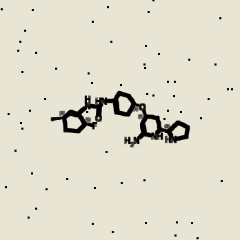 C[C@H]1C=C(NC(=O)NC2=CC[C@@H](O[C@@H]3C=C(N)NC([C@H]4CCCN4)C3)CC2)[C@@H](F)CC1